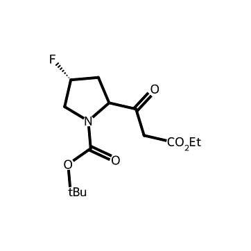 CCOC(=O)CC(=O)C1C[C@@H](F)CN1C(=O)OC(C)(C)C